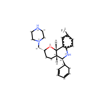 FC(F)(F)c1ccc2c(c1)[C@H]1O[C@@H](CN3CCNCC3)CC[C@H]1[C@H](C1C=CC=CC1)N2